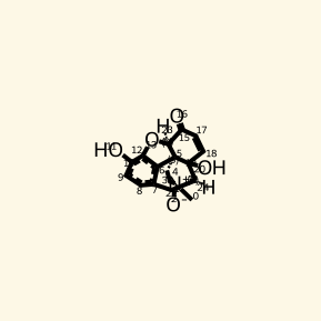 C[N+]1([O-])CC[C@]23c4c5ccc(O)c4O[C@H]2C(=O)C=CC3(O)[C@H]1C5